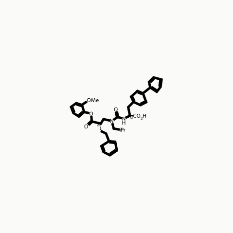 COc1ccccc1OC(=O)[C@@H](CCc1ccccc1)CN(CC(C)C)C(=O)N[C@@H](Cc1ccc(-c2ccccc2)cc1)C(=O)O